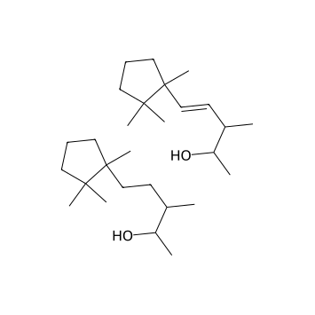 CC(O)C(C)C=CC1(C)CCCC1(C)C.CC(O)C(C)CCC1(C)CCCC1(C)C